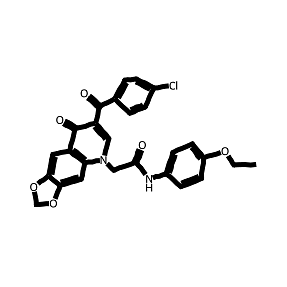 CCOc1ccc(NC(=O)Cn2cc(C(=O)c3ccc(Cl)cc3)c(=O)c3cc4c(cc32)OCO4)cc1